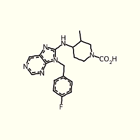 CC1CN(C(=O)O)CCC1Nc1nc2cncnc2n1Cc1ccc(F)cc1